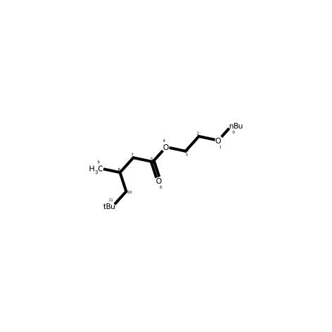 CCCCOC[CH]OC(=O)CC(C)CC(C)(C)C